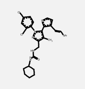 CCCC=Cc1ccsc1-c1c(C)c(CNC(=O)NC2CCCCC2)nn1-c1ccc(Cl)cc1Cl